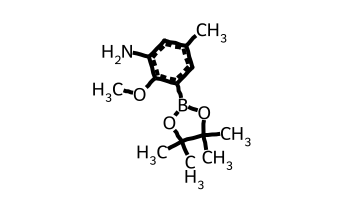 COc1c(N)cc(C)cc1B1OC(C)(C)C(C)(C)O1